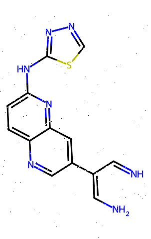 N=C/C(=C\N)c1cnc2ccc(Nc3nncs3)nc2c1